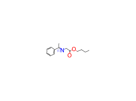 CCCCOC(=O)C/N=C(\C)c1ccccc1